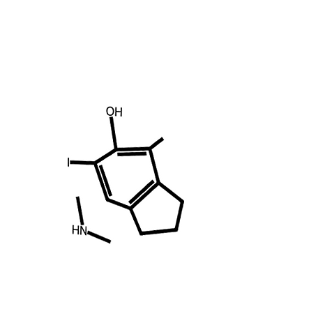 CNC.Cc1c(O)c(I)cc2c1CCC2